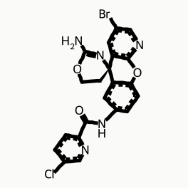 NC1=N[C@@]2(CCO1)c1cc(NC(=O)c3ccc(Cl)cn3)ccc1Oc1ncc(Br)cc12